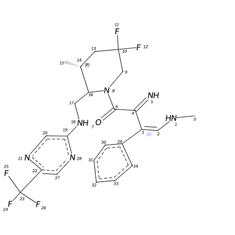 CN/C=C(\C(=N)C(=O)N1CC(F)(F)C[C@@H](C)C1CNc1cnc(C(F)(F)F)cn1)c1ccccc1